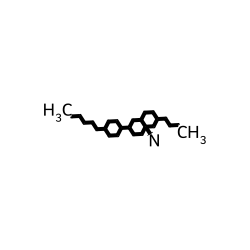 CCCCCCC1CCC(C2CCC3(C#N)CC(CCCC)CCC3C2)CC1